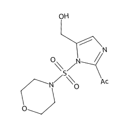 CC(=O)c1ncc(CO)n1S(=O)(=O)N1CCOCC1